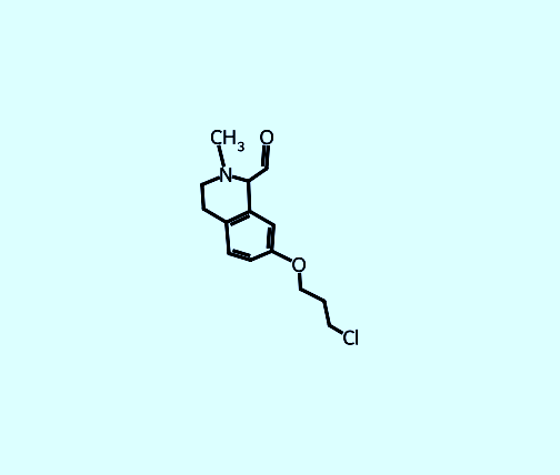 CN1CCc2ccc(OCCCCl)cc2C1C=O